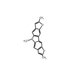 Cc1cc2cc3c(cc2o1)c1cc2oc(C)cc2cc1n3C